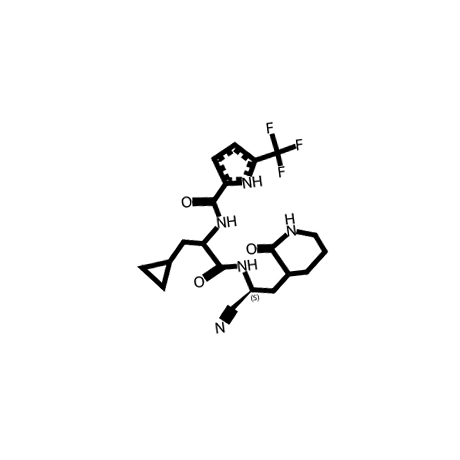 N#C[C@H](CC1CCCNC1=O)NC(=O)C(CC1CC1)NC(=O)c1ccc(C(F)(F)F)[nH]1